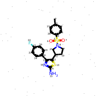 Cc1ccc(S(=O)(=O)N2CCC(c3sc(N)nc3-c3ccc(F)cc3)C2)cc1